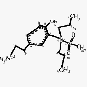 CCC[N+](CCC)(c1cc(CCN)ccc1O)S(C)(=O)=O